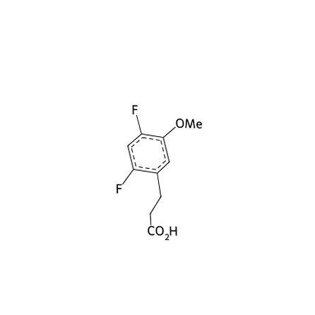 COc1cc(CCC(=O)O)c(F)cc1F